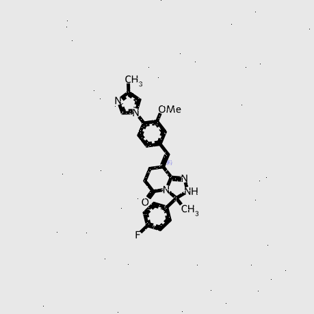 COc1cc(/C=C2\CCC(=O)N3C2=NNC3(C)c2ccc(F)cc2)ccc1-n1cnc(C)c1